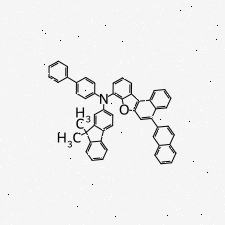 CC1(C)c2ccccc2-c2ccc(N(c3ccc(-c4ccccc4)cc3)c3cccc4c3oc3cc(-c5ccc6ccccc6c5)c5ccccc5c34)cc21